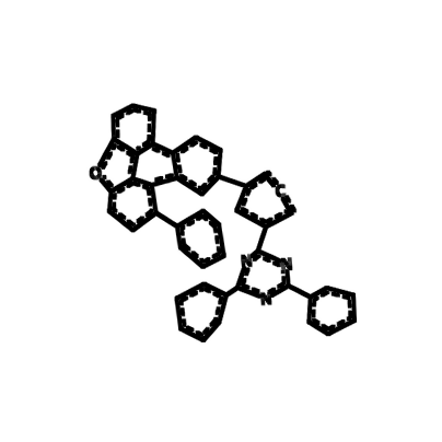 c1ccc(-c2nc(-c3ccccc3)nc(-c3cccc(-c4ccc5c(c4)c4c(-c6ccccc6)ccc6oc7cccc5c7c64)c3)n2)cc1